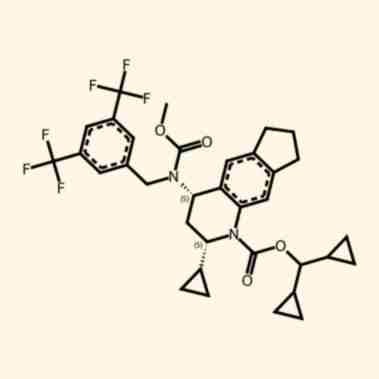 COC(=O)N(Cc1cc(C(F)(F)F)cc(C(F)(F)F)c1)[C@H]1C[C@@H](C2CC2)N(C(=O)OC(C2CC2)C2CC2)c2cc3c(cc21)CCC3